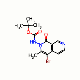 Cc1c(Br)c2ccncc2c(=O)n1NC(=O)OC(C)(C)C